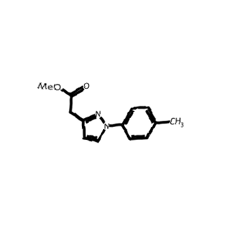 COC(=O)Cc1ccn(-c2ccc(C)cc2)n1